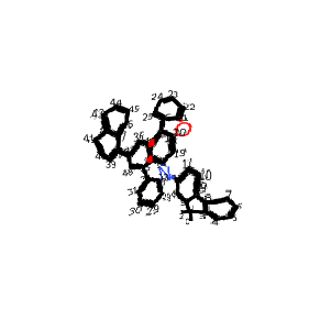 CC1(C)c2ccccc2-c2ccc(N(c3ccc4c(c3)oc3ccccc34)c3ccccc3-c3cccc(-c4cccc5ccccc45)c3)cc21